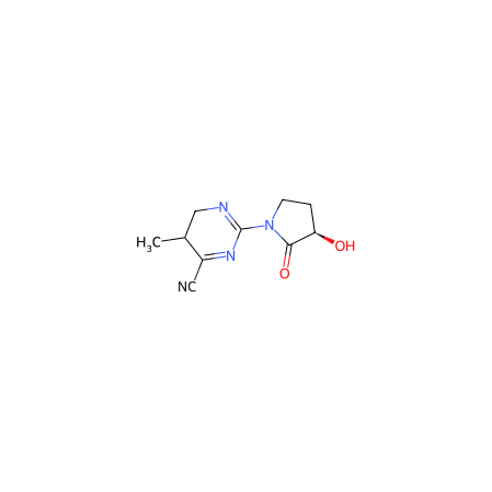 CC1CN=C(N2CC[C@@H](O)C2=O)N=C1C#N